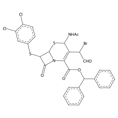 CC(=O)NC1SC2C(Sc3ccc(Cl)c(Cl)c3)C(=O)N2C(C(=O)OC(c2ccccc2)c2ccccc2)=C1C(Br)C=O